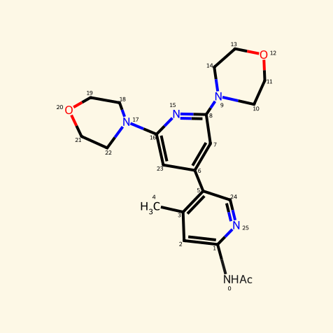 CC(=O)Nc1cc(C)c(-c2cc(N3CCOCC3)nc(N3CCOCC3)c2)cn1